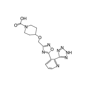 O=C(O)N1CCC(OCc2noc(-c3cccnc3-c3nn[nH]n3)n2)CC1